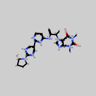 C=C(Nc1ccnc(-c2cnc(N3CCC[C@@H]3C)nc2)n1)C(C)n1cnc2c1c(=O)n(C)c(=O)n2C